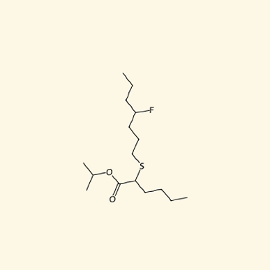 CCCCC(SCCCC(F)CCC)C(=O)OC(C)C